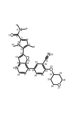 Cc1cc(C(=O)N(C)C)n(C)c1-c1cc2nccc(-c3ccc(OC4CCOCC4)c(C#N)c3)c2o1